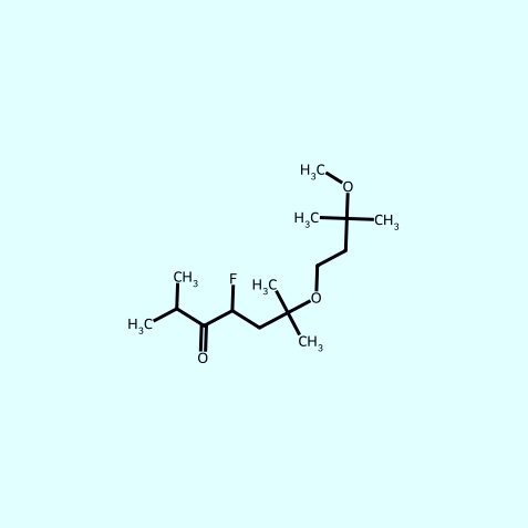 COC(C)(C)CCOC(C)(C)CC(F)C(=O)C(C)C